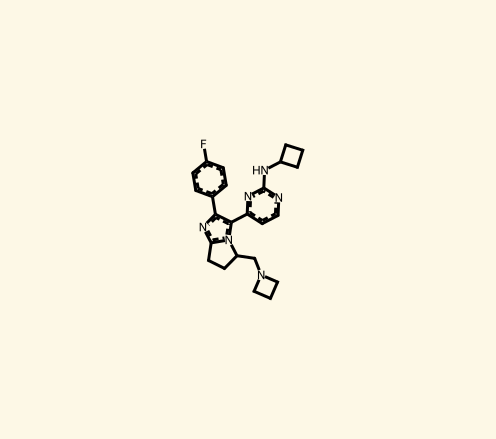 Fc1ccc(-c2nc3n(c2-c2ccnc(NC4CCC4)n2)C(CN2CCC2)CC3)cc1